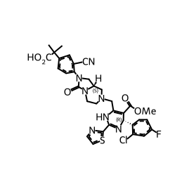 COC(=O)C1=C(CN2CCN3C(=O)N(c4ccc(C(C)(C)C(=O)O)cc4C#N)C[C@@H]3C2)NC(c2nccs2)=N[C@H]1c1ccc(F)cc1Cl